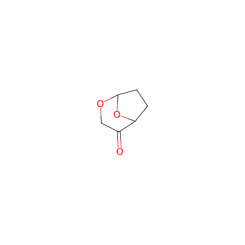 O=C1COC2CCC1O2